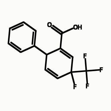 O=C(O)C1=CC(F)(C(F)(F)F)C=CC1c1ccccc1